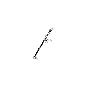 CCCCCC=CCC=CCC=CCC=CCCC(CCOCCOCCN=[N+]=[N-])C(N)=O